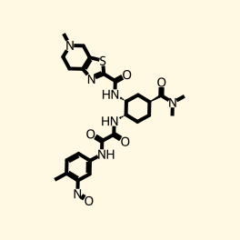 Cc1ccc(NC(=O)C(=O)N[C@H]2CC[C@H](C(=O)N(C)C)C[C@H]2NC(=O)c2nc3c(s2)CN(C)CC3)cc1N=O